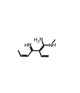 C=C/C(C(=N)/C=C\C)=C(/N)NC